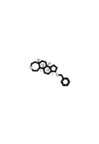 C[C@]12CCOCC[C@@H]1CC[C@@H]1[C@@H]2CC[C@]2(C)[C@@H](OCc3ccccc3)CC[C@@H]12